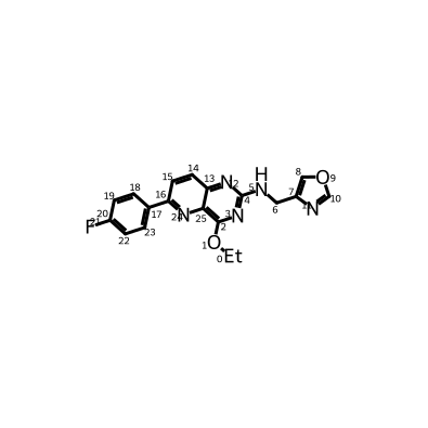 CCOc1nc(NCc2cocn2)nc2ccc(-c3ccc(F)cc3)nc12